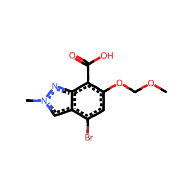 COCOc1cc(Br)c2cn(C)nc2c1C(=O)O